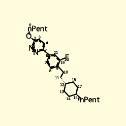 CCCCCOc1ccc(-c2ccc(CC[C@H]3CC[C@H](CCCCC)CC3)c(F)c2)nn1